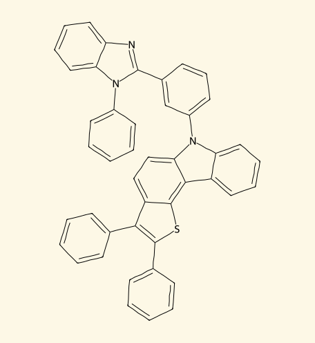 c1ccc(-c2sc3c(ccc4c3c3ccccc3n4-c3cccc(-c4nc5ccccc5n4-c4ccccc4)c3)c2-c2ccccc2)cc1